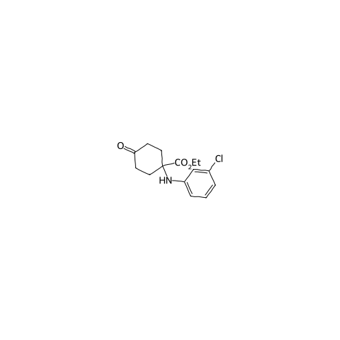 CCOC(=O)C1(Nc2cccc(Cl)c2)CCC(=O)CC1